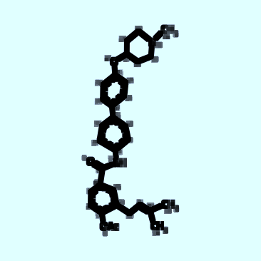 CC(=O)Oc1ccc(C(=O)Nc2ccc(-c3ccc(OC4CCN(C)CC4)cc3)cc2)cc1CC=C(C)C